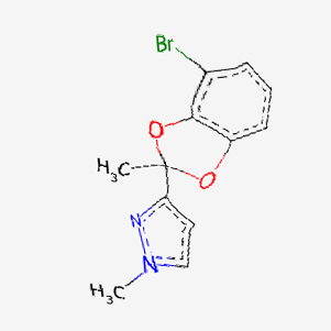 Cn1ccc(C2(C)Oc3cccc(Br)c3O2)n1